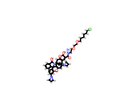 O=C(NCCOCCOCCCCCCCl)c1cc2c(oc1=O)CC(N1C(=O)c3ccccc3C13C1=C(C=C(N4CCC4)CC#C1)Oc1cc(N4CCC4)ccc13)C=C2